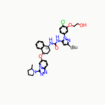 CC1CCCN1c1nnc2ccc(O[C@@H]3CC[C@H](NC(=O)Nc4cc(C(C)(C)C)nn4-c4ccc(Cl)c(OCCO)c4)c4ccccc43)cn12